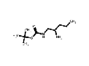 CCCC(N)CNC(=O)OC(C)(C)C